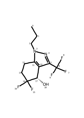 CCCn1nc(C(F)(F)F)c2c1CCC(F)(F)[C@H]2O